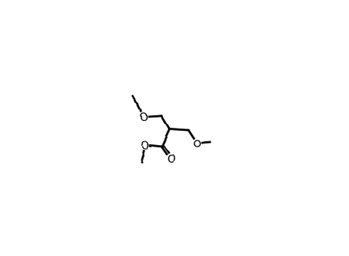 COCC(COC)C(=O)OC